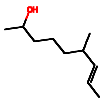 C/C=C/C(C)CCCC(C)O